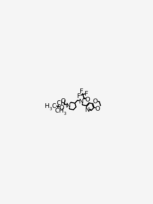 CC(C)(C)OC(=O)N1CCCC(CN(Cc2cc3c(cn2)OCCO3)C(=O)C(F)(F)F)C1